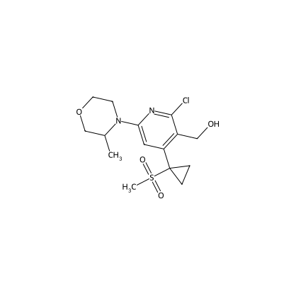 CC1COCCN1c1cc(C2(S(C)(=O)=O)CC2)c(CO)c(Cl)n1